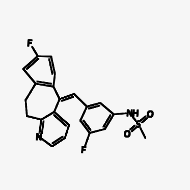 CS(=O)(=O)Nc1cc(F)cc(/C=C2/c3ccc(F)cc3CCc3ncccc32)c1